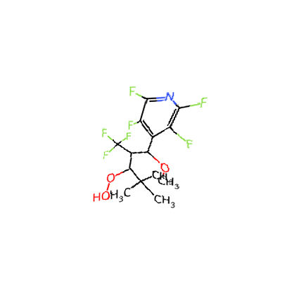 COC(c1c(F)c(F)nc(F)c1F)C(C(OO)C(C)(C)C)C(F)(F)F